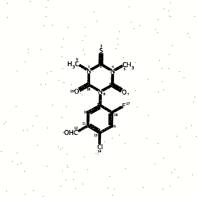 Cn1c(=S)n(C)c(=O)n(-c2cc([C]=O)c(Cl)cc2F)c1=O